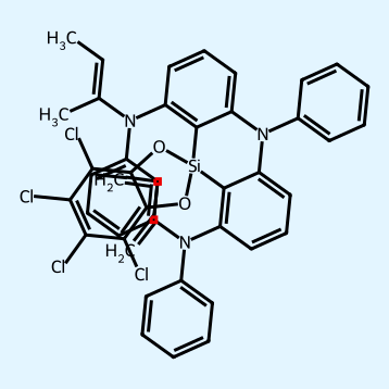 C=CC(=C)N(c1ccccc1)c1cccc2c1[Si]1(Oc3c(Cl)c(Cl)c(Cl)c(Cl)c3O1)c1c(N(/C(C)=C/C)c3ccccc3)cccc1N2c1ccccc1